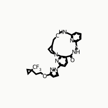 O=C1NSc2cccc(n2)NCCCC2CCN(C2)c2nc(-n3ccc(OCCC4(C(F)(F)F)CC4)n3)ccc21